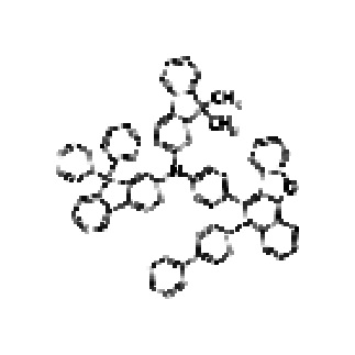 CC1(C)c2ccccc2-c2ccc(N(c3ccc(-c4c(-c5ccc(-c6ccccc6)cc5)c5ccccc5c5oc6ccccc6c45)cc3)c3ccc4c(c3)C(c3ccccc3)(c3ccccc3)c3ccccc3-4)cc21